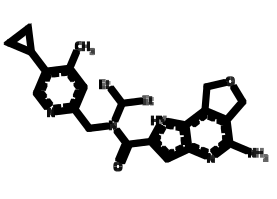 CCC(CC)N(Cc1cc(C)c(C2CC2)cn1)C(=O)c1cc2nc(N)c3c(c2[nH]1)COC3